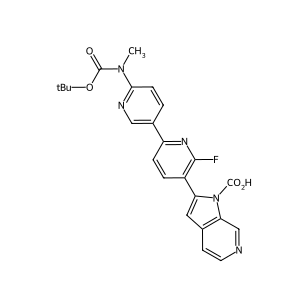 CN(C(=O)OC(C)(C)C)c1ccc(-c2ccc(-c3cc4ccncc4n3C(=O)O)c(F)n2)cn1